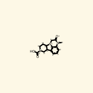 CN1C(=O)CN2c3c(cccc31)C1CN(C(=O)O)CCC12